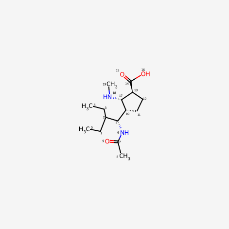 CCC(CC)[C@@H](NC(C)=O)[C@H]1CC[C@H](C(=O)O)[C@H]1NC